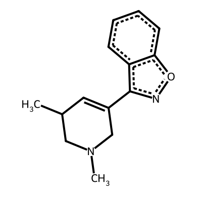 CC1C=C(c2noc3ccccc23)CN(C)C1